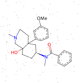 COc1cccc(C23CCN(C)CC2(O)CC[C@H](N(C)C(=O)c2ccccc2)C3)c1